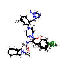 CC(C)N1Cc2ccccc2[C@H]1CC(=O)NC(Cc1ccc(Cl)cc1)C(=O)N1CCN(c2ccccc2Cn2cncn2)CC1.Cl.Cl